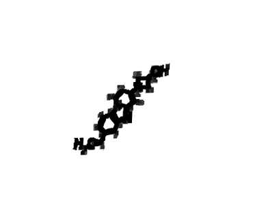 C=Cc1ccc2c(c1)nc1cc(N3CC(O)C3)ccn12